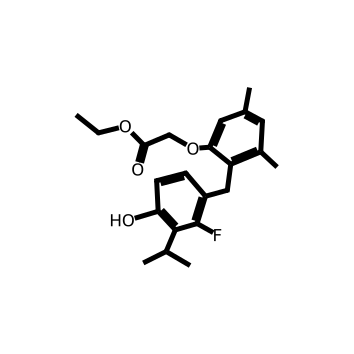 CCOC(=O)COc1cc(C)cc(C)c1Cc1ccc(O)c(C(C)C)c1F